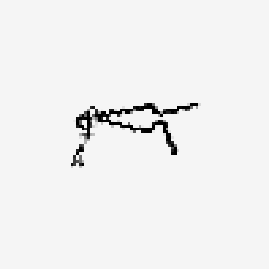 CCCCC/C=C\C/C=C\CCCCCCCCC1(CCCCCCCC/C=C\CCCCCCCC)OCC2(CCCN(C(=O)OCCN(C)C)C2)O1